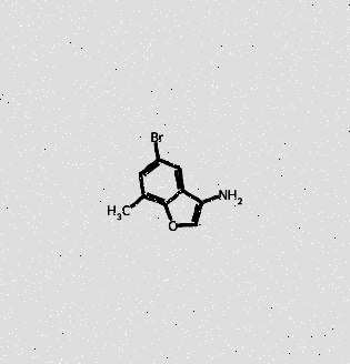 Cc1cc(Br)cc2c(N)[c]oc12